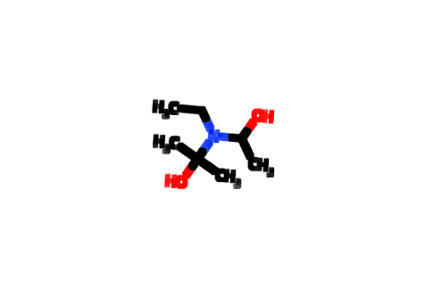 CCN(C(C)O)C(C)(C)O